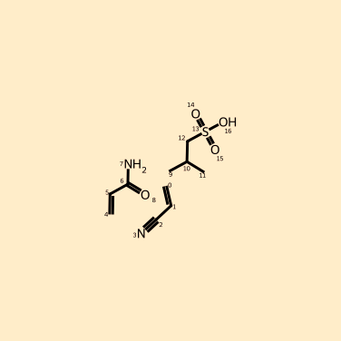 C=CC#N.C=CC(N)=O.CC(C)CS(=O)(=O)O